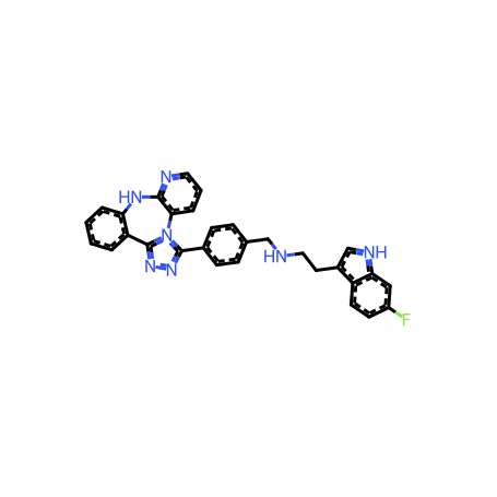 Fc1ccc2c(CCNCc3ccc(-c4nnc5n4-c4cccnc4Nc4ccccc4-5)cc3)c[nH]c2c1